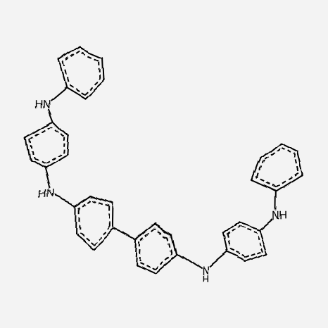 c1ccc(Nc2ccc(Nc3ccc(-c4ccc(Nc5ccc(Nc6ccccc6)cc5)cc4)cc3)cc2)cc1